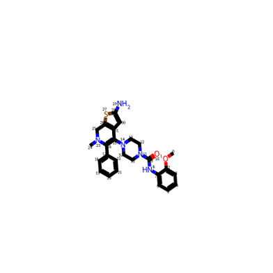 COc1ccccc1NC(=O)N1CCN(C2=C(c3ccccc3)N(C)Cc3sc(N)cc32)CC1